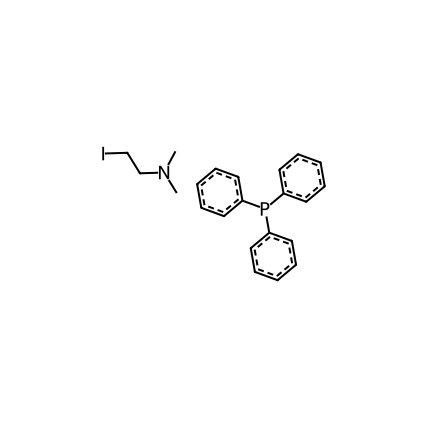 CN(C)CCI.c1ccc(P(c2ccccc2)c2ccccc2)cc1